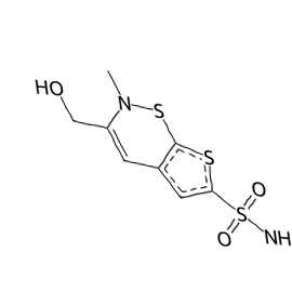 CN1Sc2sc(S(N)(=O)=O)cc2C=C1CO